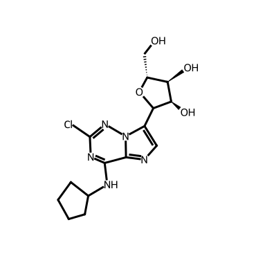 OC[C@H]1OC(c2cnc3c(NC4CCCC4)nc(Cl)nn23)[C@H](O)[C@@H]1O